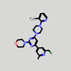 Cc1cc(-c2cc(N3CCN(c4ncccc4C(F)(F)F)CC3)nc(N3CCOCC3)n2)cc(CF)n1